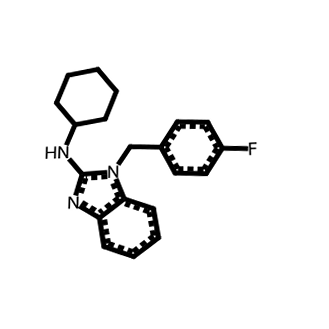 Fc1ccc(Cn2c(NC3CCCCC3)nc3ccccc32)cc1